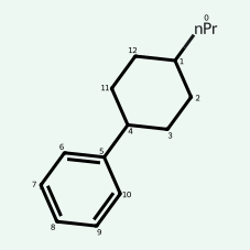 CCCC1CCC(c2c[c]ccc2)CC1